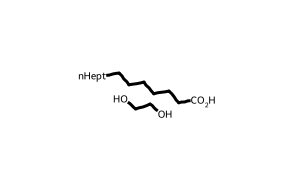 CCCCCCCCCCCCCC(=O)O.OCCO